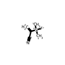 C=C(C#N)[Si](C)(C)F